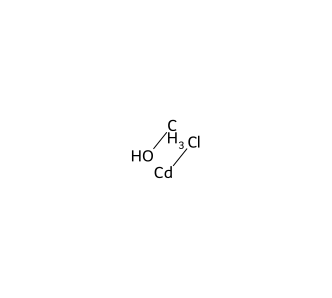 CO.[Cl][Cd]